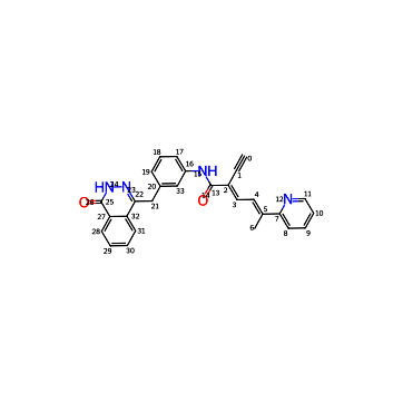 C#C/C(=C\C=C(/C)c1ccccn1)C(=O)Nc1cccc(Cc2n[nH]c(=O)c3ccccc23)c1